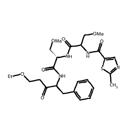 CCOCCC(=O)C(Cc1ccccc1)NC(=O)[C@H](COC)NC(=O)C(COC)NC(=O)c1cnc(C)s1